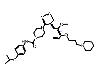 C=C/C(OCCCN1CCCCC1)=C(\C=C1/CN=CN=C1N1CCN(C(=O)Nc2ccc(OC(C)C)cc2)CC1)OC